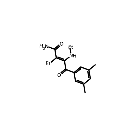 CCN/C(C(=O)c1cc(C)cc(C)c1)=C(/CC)C(N)=O